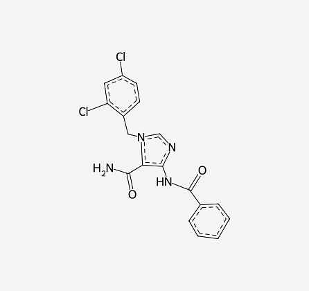 NC(=O)c1c(NC(=O)c2ccccc2)ncn1Cc1ccc(Cl)cc1Cl